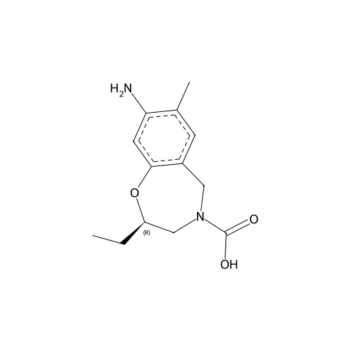 CC[C@@H]1CN(C(=O)O)Cc2cc(C)c(N)cc2O1